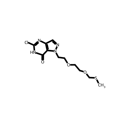 CSCOCCOCCn1ncc2nc(Cl)[nH]c(=O)c21